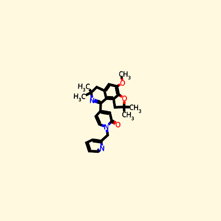 COc1cc2c(c3c1OC(C)(C)C3)C(c1ccn(Cc3ccccn3)c(=O)c1)=NC(C)(C)C2